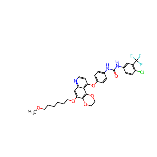 COCCCCCCOc1cc2nccc(Oc3ccc(NC(=O)Nc4ccc(Cl)c(C(F)(F)F)c4)cc3)c2c2c1OCCO2